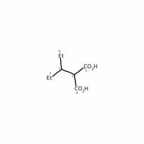 CCC(CC)C(C(=O)O)C(=O)O